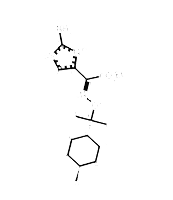 CCOC(=O)/C(=N\OC(C)(C)[C@H]1CC[C@H](C)CC1)c1csc(N)n1